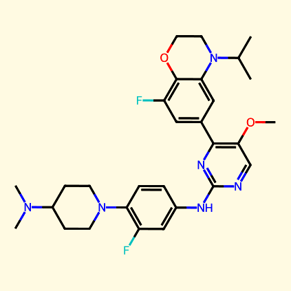 COc1cnc(Nc2ccc(N3CCC(N(C)C)CC3)c(F)c2)nc1-c1cc(F)c2c(c1)N(C(C)C)CCO2